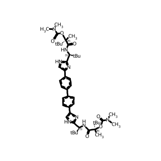 CN(C)C(=O)O[C@@](C)(C(=O)N[C@H](c1nc(-c2ccc(-c3ccc(-c4c[nH]c([C@@H](NC(=O)[C@](C)(OC(=O)N(C)C)C(C)(C)C)C(C)(C)C)n4)cc3)cc2)c[nH]1)C(C)(C)C)C(C)(C)C